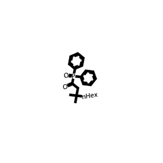 CCCCCCC(C)(C)CC(=O)P(=O)(c1ccccc1)c1ccccc1